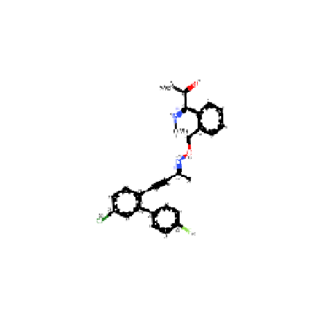 CNC(=O)/C(=N/OC)c1ccccc1CO/N=C(\C)C#Cc1ccc(Cl)cc1-c1ccc(F)cc1